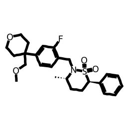 COCC1(c2ccc(CN3[C@@H](C)CC[C@H](c4ccccc4)S3(=O)=O)c(F)c2)CCOCC1